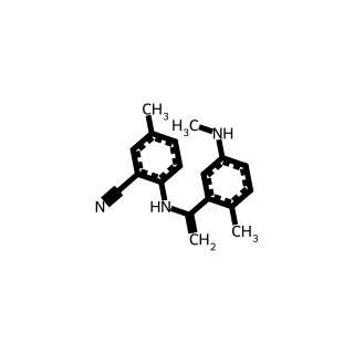 C=C(Nc1ccc(C)cc1C#N)c1cc(NC)ccc1C